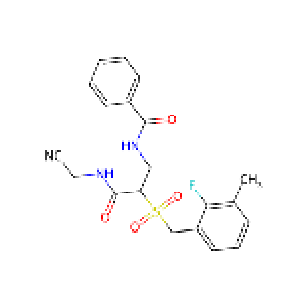 Cc1cccc(CS(=O)(=O)C(CNC(=O)c2ccccc2)C(=O)NCC#N)c1F